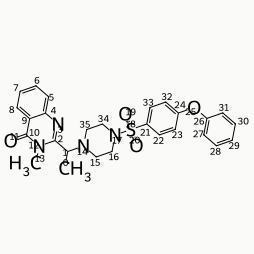 CC(c1nc2ccccc2c(=O)n1C)N1CCN(S(=O)(=O)c2ccc(Oc3ccccc3)cc2)CC1